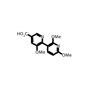 COc1ccc(-c2ncc(C(=O)O)cc2OC)c(OC)n1